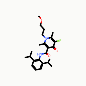 COCCCn1c(C)c(F)c(=O)c(C(=O)Nc2c(C(C)C)cccc2C(C)C)c1C